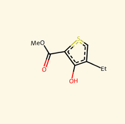 CCc1csc(C(=O)OC)c1O